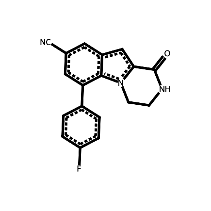 N#Cc1cc(-c2ccc(F)cc2)c2c(c1)cc1n2CCNC1=O